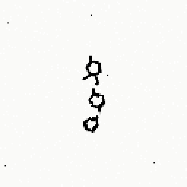 Cc1ccc(COc2ccc(Oc3ccccc3)cc2)c(C)c1